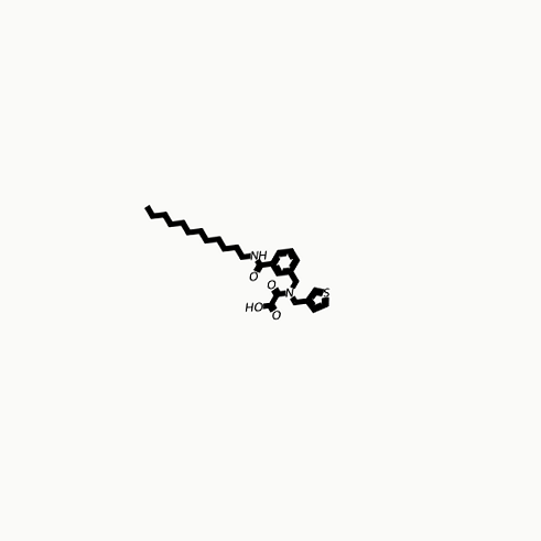 CCCCCCCCCCCCNC(=O)c1cccc(CN(Cc2ccsc2)C(=O)C(=O)O)c1